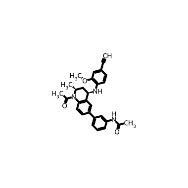 C#Cc1ccc(N[C@@H]2C[C@H](C)N(C(C)=O)c3ccc(-c4cccc(NC(C)=O)c4)cc32)c(OC)c1